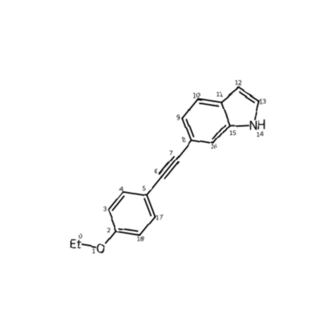 CCOc1ccc(C#Cc2ccc3cc[nH]c3c2)cc1